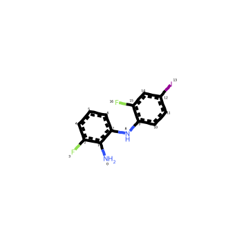 Nc1c(F)cccc1Nc1ccc(I)cc1F